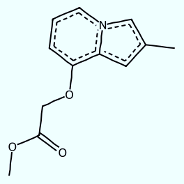 COC(=O)COc1cccn2cc(C)cc12